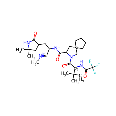 C/N=C/C(CC1CC(C)(C)NC1=O)NC(=O)C1C[Si]2(CCCC2)CN1C(=O)[C@@H](NC(=O)C(F)(F)F)C(C)(C)C